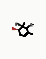 CC1=CC[C@H](Br)[C@@](C)(C(C)C)C1C(C)C